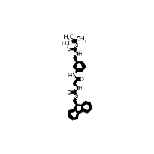 CC(C)(C)OC(=O)NCc1cccc(NC(=O)CNC(=O)OCC2c3ccccc3-c3ccccc32)c1